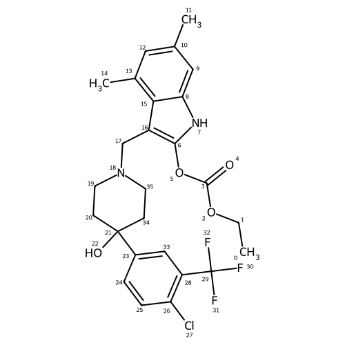 CCOC(=O)Oc1[nH]c2cc(C)cc(C)c2c1CN1CCC(O)(c2ccc(Cl)c(C(F)(F)F)c2)CC1